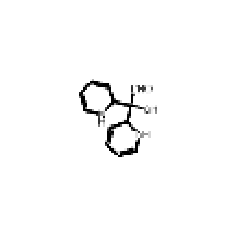 O=CC(O)(C1C=CC=CN1)C1C=CC=CN1